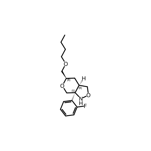 CCCCOC[C@H]1C[C@H]2CON[C@@]2(c2ccccc2F)CO1